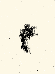 NC[C@H](NC(=O)[C@H](CC(=O)O)NC(=O)[C@H](CC(=O)O)NC(=O)[C@H](CC(=O)O)NC(=O)CC[C@H](NC(=O)c1ccc(NCc2cnc3nc(N)[nH]c(=O)c3n2)cc1)C(=O)O)C(=O)N[C@H](C=O)CS